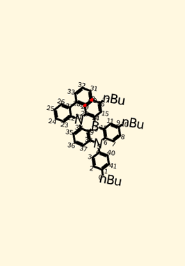 CCCCc1ccc(N2c3ccc(CCCC)cc3B3c4cc(CCCC)ccc4N(c4ccccc4-c4ccccc4)c4cccc2c43)cc1